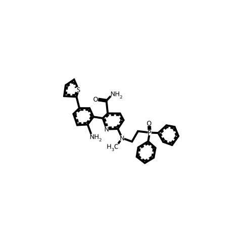 CN(CCP(=O)(c1ccccc1)c1ccccc1)c1ccc(C(N)=O)c(-c2cc(-c3cccs3)ccc2N)n1